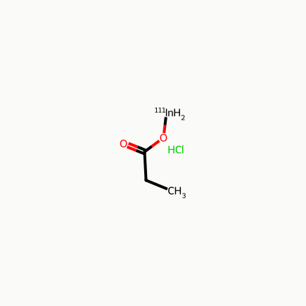 CCC(=O)[O][111InH2].Cl